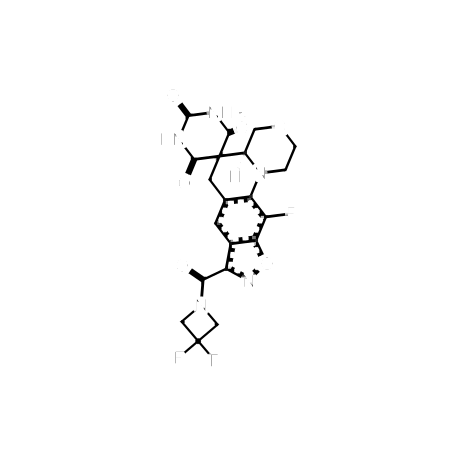 O=C1NC(=O)C2(Cc3cc4c(C(=O)N5CC(F)(F)C5)noc4c(F)c3N3CCO[C@@H](I)[C@@H]32)C(=O)N1